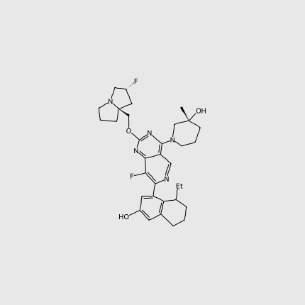 CCC1CCCc2cc(O)cc(-c3ncc4c(N5CCC[C@@](C)(O)C5)nc(OC[C@@]56CCCN5C[C@H](F)C6)nc4c3F)c21